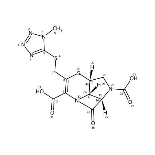 Cn1nnnc1SCC1=C(C(=O)O)N2C(=O)[C@@H]3[C@H]2[C@@H](CN3C(=O)O)S1